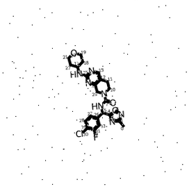 Cc1noc(C(NC(=O)N2CCc3cnc(NC4CCOCC4)nc3C2)c2ccc(Cl)c(F)c2)n1